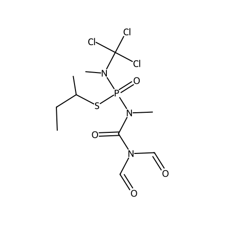 CCC(C)SP(=O)(N(C)C(=O)N(C=O)C=O)N(C)C(Cl)(Cl)Cl